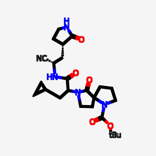 CC(C)(C)OC(=O)N1CCCC12CCN(C(CC1CC1)C(=O)N[C@H](C#N)C[C@@H]1CCNC1=O)C2=O